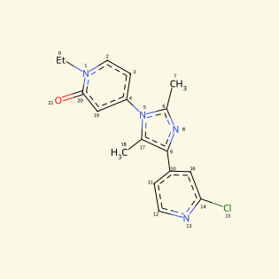 CCn1ccc(-n2c(C)nc(-c3ccnc(Cl)c3)c2C)cc1=O